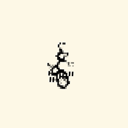 CCn1nc(C(F)(F)F)cc1-c1c2c(nn1C)[C@@H]1CCC[C@H](C2)N1